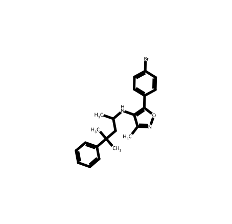 Cc1noc(-c2ccc(Br)cc2)c1NC(C)CC(C)(C)c1ccccc1